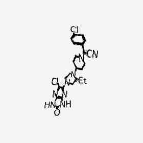 CC[C@H]1CN(c2nc3[nH]c(=O)[nH]c3nc2Cl)CCN1C1CCN([C@H](C#N)c2ccc(Cl)cc2)CC1